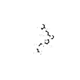 CC[C@H](C)[C@@H]([C@@H](CC(=O)N1CCC[C@H]1[C@H](OC)[C@@H](C)C(=O)NC(C(=O)C(C)C)C(C)O)OC)N(C)C(=O)[C@@H](NC(=O)[C@H](C(C)C)N(C)C)C(C)C